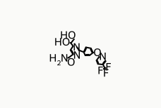 NC(=O)c1cc(C(O)CO)nc(-c2ccc(Oc3ccc(C(F)(F)F)cn3)cc2)n1